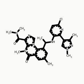 Cc1cc(C(C)Nc2ccc(Cl)nc2-c2cn(C)nc2C)c2c(c1)c(=O)n(C)c1c(C(=O)N(C)C)ncn21